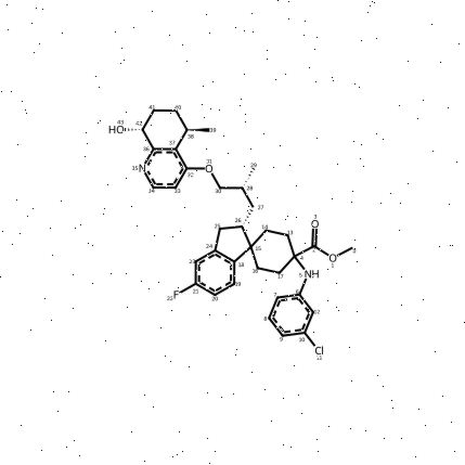 COC(=O)C1(Nc2cccc(Cl)c2)CCC2(CC1)c1ccc(F)cc1C[C@@H]2C[C@@H](C)COc1ccnc2c1[C@H](C)CC[C@H]2O